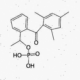 Cc1cc(C)c(C(=O)c2ccccc2C(C)OP(=O)(O)O)c(C)c1